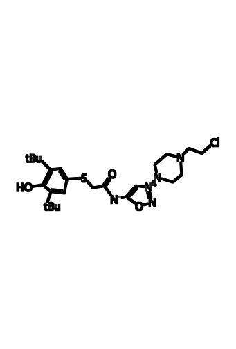 CC(C)(C)c1cc(SCC(=O)[N-]c2c[n+](N3CCN(CCCl)CC3)no2)cc(C(C)(C)C)c1O